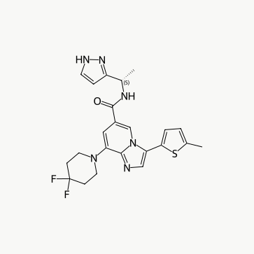 Cc1ccc(-c2cnc3c(N4CCC(F)(F)CC4)cc(C(=O)N[C@@H](C)c4cc[nH]n4)cn23)s1